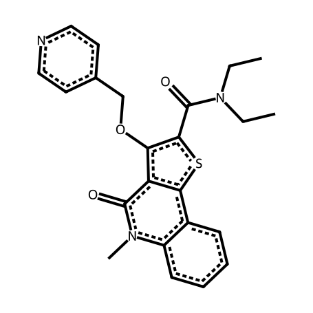 CCN(CC)C(=O)c1sc2c(c1OCc1ccncc1)c(=O)n(C)c1ccccc21